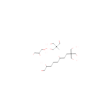 CC(CO)(CO)CO.OCC(O)CCCC(O)CCC(CO)(CO)CO.OCC(O)CO